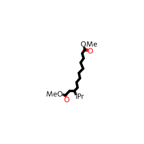 COC(=O)CCCCCCCCC(CC(=O)OC)C(C)C